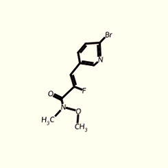 CON(C)C(=O)/C(F)=C/c1ccc(Br)nc1